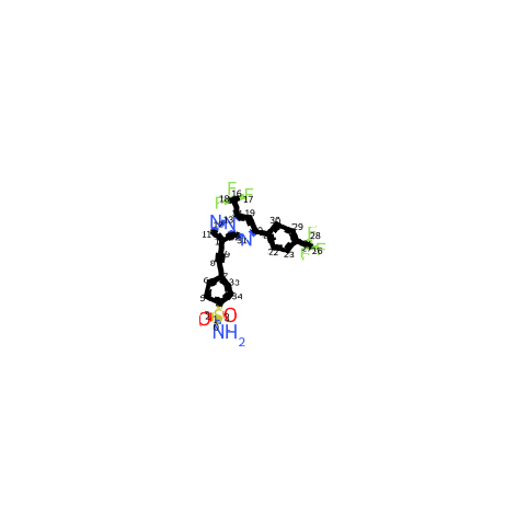 NS(=O)(=O)c1ccc(C#Cc2cnn3c(C(F)(F)F)cc(-c4ccc(C(F)(F)F)cc4)nc23)cc1